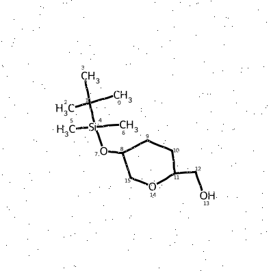 CC(C)(C)[Si](C)(C)OC1CCC(CO)OC1